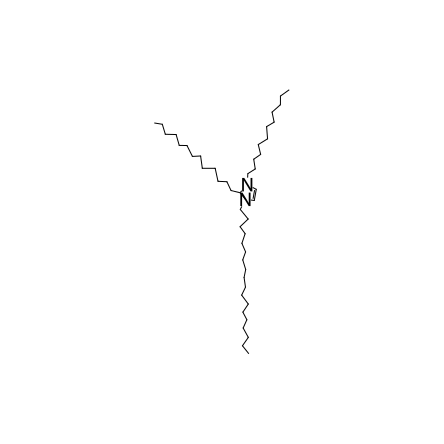 CCCCCCCCCCCCCCCCCCN1C=CN(CCCCCCCCCCCC)C1CCCCCCCCCCCCC